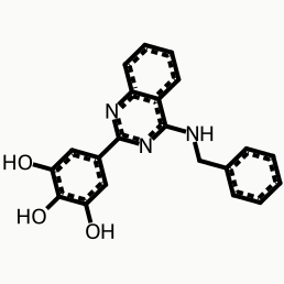 Oc1cc(-c2nc(NCc3ccccc3)c3ccccc3n2)cc(O)c1O